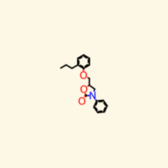 CCCc1ccccc1OCC1CN(c2ccccc2)C(=O)O1